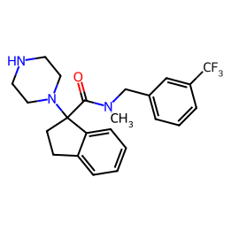 CN(Cc1cccc(C(F)(F)F)c1)C(=O)C1(N2CCNCC2)CCc2ccccc21